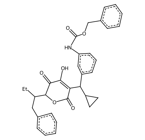 CCC(Cc1ccccc1)C1OC(=O)C(C(c2cccc(NC(=O)OCc3ccccc3)c2)C2CC2)=C(O)C1=O